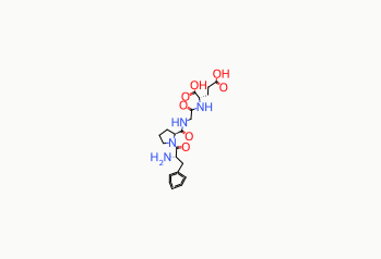 N[C@@H](Cc1ccccc1)C(=O)N1CCC[C@H]1C(=O)NCC(=O)N[C@@H](CCC(=O)O)C(=O)O